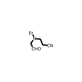 CCN(CC=O)CCC#N